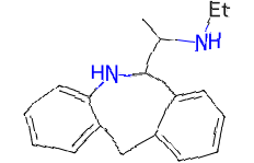 CCNC(C)C1Nc2ccccc2Cc2ccccc21